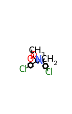 C=C(c1ccc(Cl)cc1)n1cc(-c2ccc(Cl)cc2)c(C(=O)OCC)n1